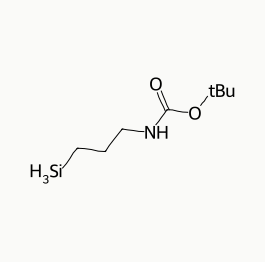 CC(C)(C)OC(=O)NCCC[SiH3]